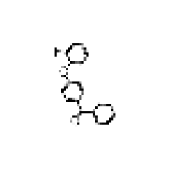 O=C(c1ccccc1)c1ccc(Oc2ccccc2I)cc1